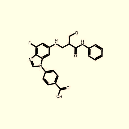 O=C(O)c1ccc(-n2cnc3c(F)cc(NCC(CCl)C(=O)Nc4ccccc4)cc32)cc1